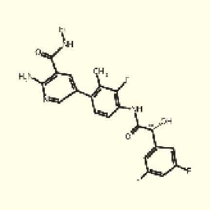 CCNC(=O)c1cc(-c2ccc(NC(=O)[C@H](O)c3cc(F)cc(F)c3)c(F)c2C)cnc1N